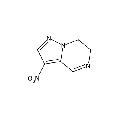 O=[N+]([O-])c1cnn2c1C=NCC2